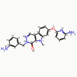 Cn1c2cc(Oc3cccc(N)n3)ccc2c2cnn(Cc3cccc(N)c3)c(=O)c21